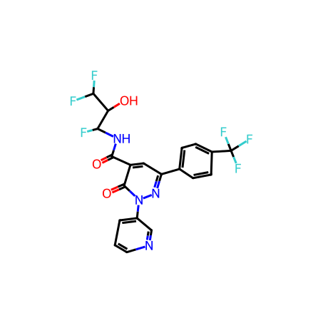 O=C(NC(F)C(O)C(F)F)c1cc(-c2ccc(C(F)(F)F)cc2)nn(-c2cccnc2)c1=O